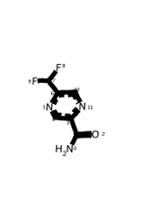 NC(=O)c1cnc(C(F)F)cn1